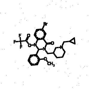 COc1ccccc1C1N(CC2CCCN(CC3CC3)C2)C(=O)c2cc(Br)ccc2N1OC(=O)C(F)(F)F